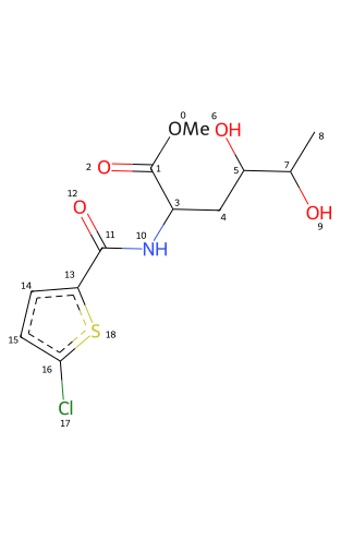 COC(=O)C(CC(O)C(C)O)NC(=O)c1ccc(Cl)s1